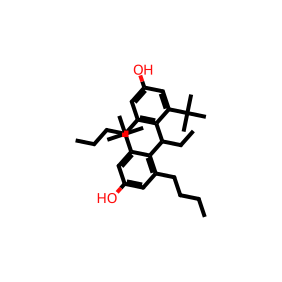 CCCCc1cc(O)cc(C(C)(C)C)c1C(CC)c1c(CCCC)cc(O)cc1C(C)(C)C